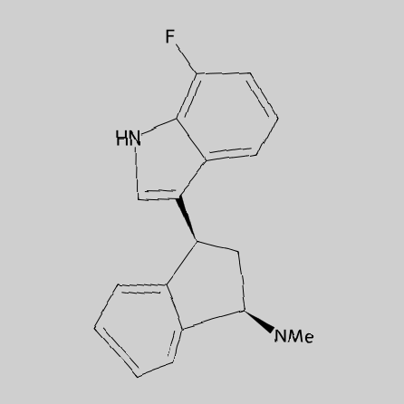 CN[C@@H]1C[C@H](c2c[nH]c3c(F)cccc23)c2ccccc21